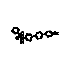 CC(=O)c1ccc(-c2ccc(-c3ccc(NS(=O)(=O)c4ccccc4)cc3)cc2)cc1